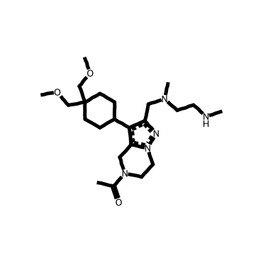 CNCCN(C)Cc1nn2c(c1C1CCC(COC)(COC)CC1)CN(C(C)=O)CC2